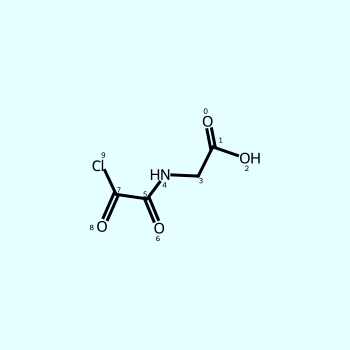 O=C(O)CNC(=O)C(=O)Cl